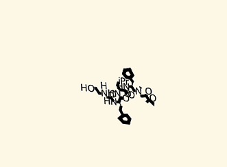 CC(C)CC(NC(=O)[C@H](CCc1ccccc1)NC(=O)CNCCO)C(=O)N[C@@H](Cc1ccccc1)C(=O)N(C)CC(=O)C1(C)CO1